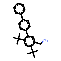 CC(C)(C)c1cc(C(C)(C)C)c(-c2ccc(-c3ccccc3)cc2)cc1CN